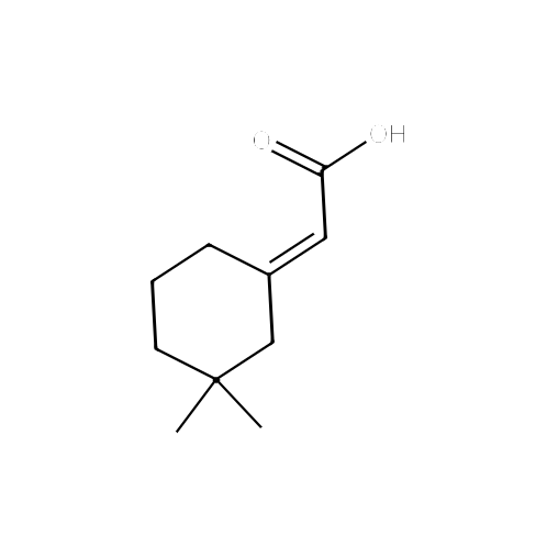 CC1(C)CCC/C(=C\C(=O)O)C1